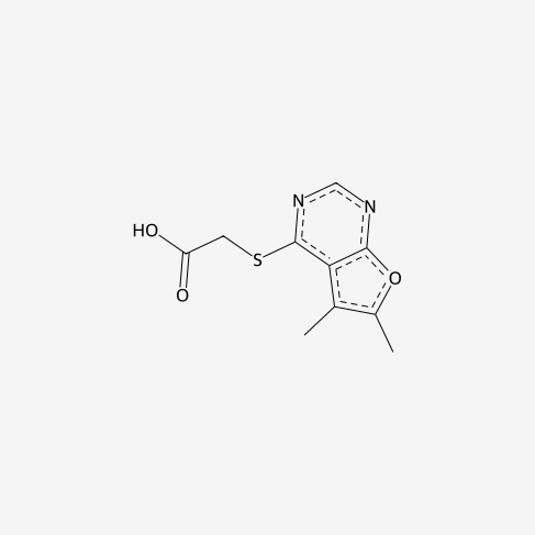 Cc1oc2ncnc(SCC(=O)O)c2c1C